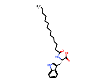 CCCCCCCCCCCCCC(=O)N[C@@H](Cc1c[nH]c2ccccc12)C(=O)O